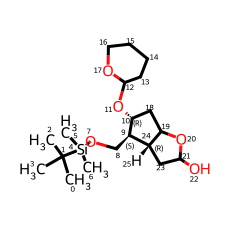 CC(C)(C)[Si](C)(C)OC[C@H]1[C@H](OC2CCCCO2)CC2OC(O)C[C@@H]21